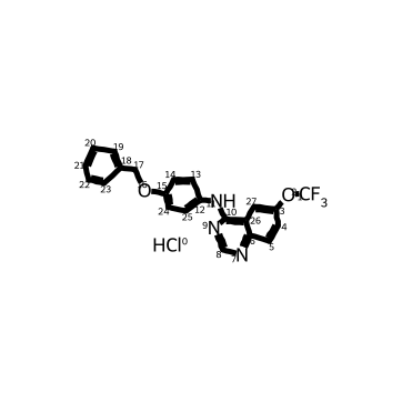 Cl.FC(F)(F)Oc1ccc2ncnc(Nc3ccc(OCc4ccccc4)cc3)c2c1